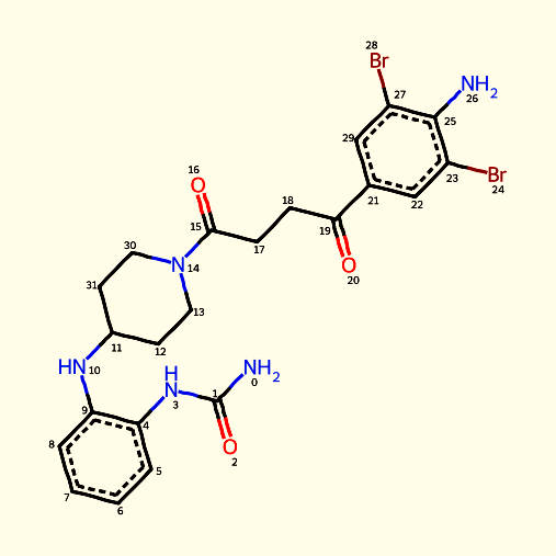 NC(=O)Nc1ccccc1NC1CCN(C(=O)CCC(=O)c2cc(Br)c(N)c(Br)c2)CC1